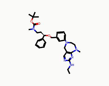 CCNc1ncc2c(n1)N(C)CCN(c1cccc(CO[C@H](CCN(C)C(=O)OC(C)(C)C)c3ccccc3)c1)C2